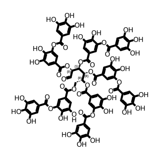 O=C[C@H](OC(=O)c1cc(O)c(O)c(OC(=O)c2cc(O)c(O)c(O)c2)c1)[C@@H](OC(=O)c1cc(O)c(O)c(OC(=O)c2cc(O)c(O)c(O)c2)c1)[C@H](OC(=O)c1cc(O)c(O)c(OC(=O)c2cc(O)c(O)c(O)c2)c1)[C@@H](COC(=O)c1cc(O)c(O)c(OC(=O)c2cc(O)c(O)c(O)c2)c1)OC(=O)c1cc(O)c(O)c(OC(=O)c2cc(O)c(O)c(O)c2)c1